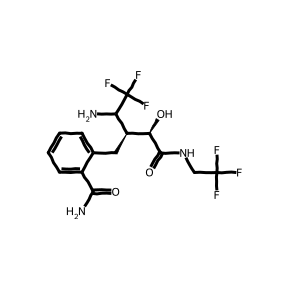 NC(=O)c1ccccc1C[C@@H](C(N)C(F)(F)F)[C@@H](O)C(=O)NCC(F)(F)F